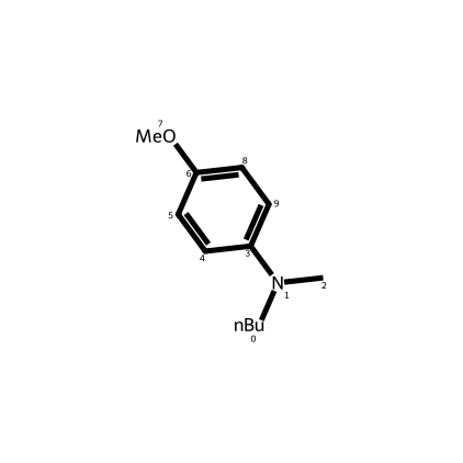 CCCCN(C)c1ccc(OC)cc1